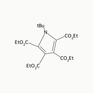 CCOC(=O)c1c(C(=O)OCC)c(C(=O)OCC)n(C(C)(C)C)c1C(=O)OCC